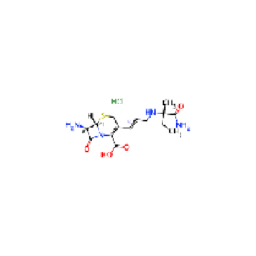 CCC(C)(NC/C=C/C1=C(C(=O)O)N2C(=O)[C@@H](N)[C@@H]2SC1)C(N)=O.Cl